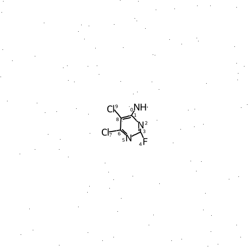 [NH]c1nc(F)nc(Cl)c1Cl